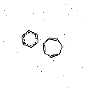 C1=CC=CNC=C1.c1ccpcc1